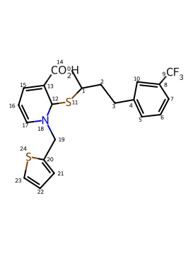 CC(CCc1cccc(C(F)(F)F)c1)SC1C(C(=O)O)=CC=CN1Cc1cccs1